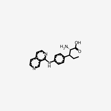 CCC(c1ccc(Nc2nccc3ccncc23)cc1)[C@H](N)C(=O)O